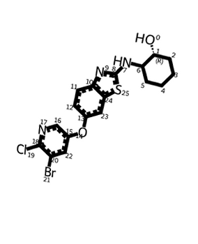 O[C@@H]1CCCCC1Nc1nc2ccc(Oc3cnc(Cl)c(Br)c3)cc2s1